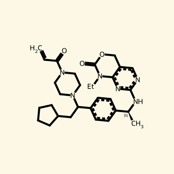 C=CC(=O)N1CCN(C(CC2CCCC2)c2ccc([C@H](C)Nc3ncc4c(n3)N(CC)C(=O)OC4)cc2)CC1